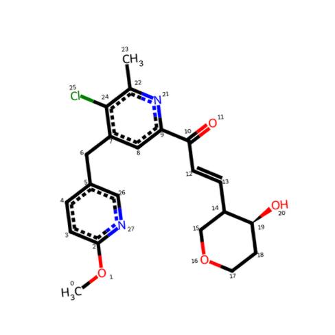 COc1ccc(Cc2cc(C(=O)/C=C/C3COCC[C@@H]3O)nc(C)c2Cl)cn1